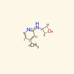 Cc1ccnc(NC2COC2)c1